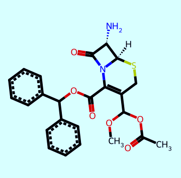 COC(OC(C)=O)C1=C(C(=O)OC(c2ccccc2)c2ccccc2)N2C(=O)[C@H](N)[C@H]2SC1